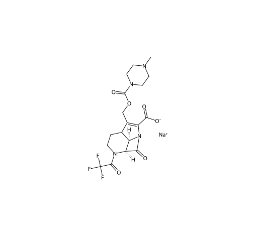 CN1CCN(C(=O)OCC2=C(C(=O)[O-])N3C(=O)[C@@H]4[C@H]3C2CCN4C(=O)C(F)(F)F)CC1.[Na+]